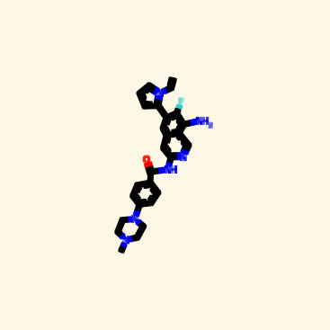 C=Cn1cccc1-c1cc2cc(NC(=O)c3ccc(N4CCN(C)CC4)cc3)ncc2c(N)c1F